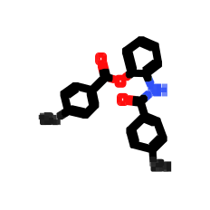 CC(C)(C)c1ccc(C(=O)Nc2ccccc2OC(=O)c2ccc(C(C)(C)C)cc2)cc1